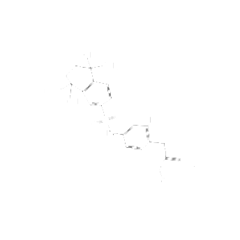 C=C(Cc1ccc(NS(=O)(=O)c2ccc3c(c2)C(C)(C)CCC3(C)C)cc1F)OC